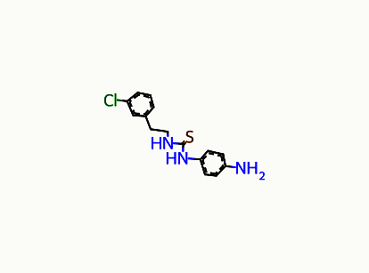 Nc1ccc(NC(=S)NCCc2cccc(Cl)c2)cc1